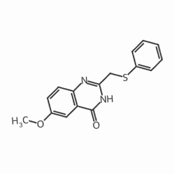 COc1ccc2nc(CSc3ccccc3)[nH]c(=O)c2c1